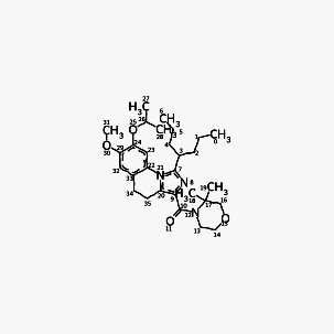 CCCC(CCC)c1nc(C(=O)N2CCOCC2(C)C)c2n1-c1cc(OC(C)C)c(OC)cc1CC2